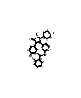 CC(Nc1nccc(-c2c(-c3ccc(F)cc3)c(=O)n(C)n2C2CCNCC2)n1)c1ccccc1F